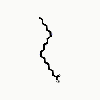 CCCCC/C=C\C/C=C/C/C=C\C/C=C/CCCC(=O)O